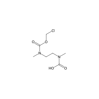 CN(CCN(C)C(=O)OCCl)C(=O)O